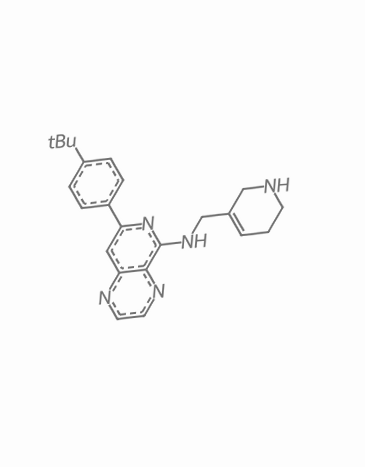 CC(C)(C)c1ccc(-c2cc3nccnc3c(NCC3=CCCNC3)n2)cc1